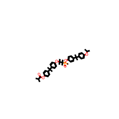 CC(C)Oc1ccc(C(C)(C)c2ccc(OP(C)(=O)C(C)(C)C(C)(C)Oc3ccc(C(C)(C)c4ccc(OC(=O)C(C)C)cc4)cc3)cc2)cc1